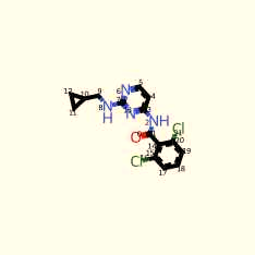 O=C(Nc1ccnc(NCC2CC2)n1)c1c(Cl)cccc1Cl